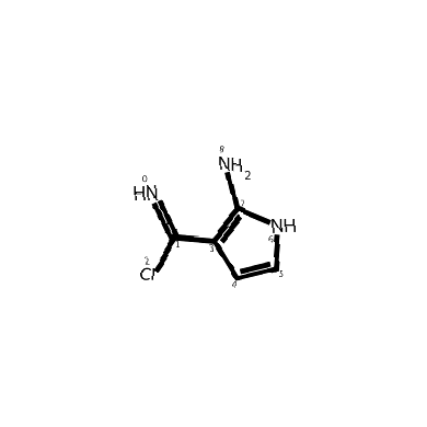 N=C(Cl)c1cc[nH]c1N